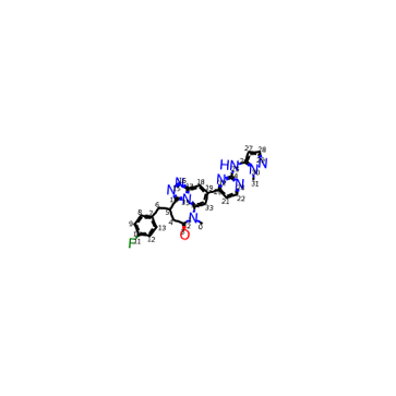 CN1C(=O)CC(Cc2ccc(F)cc2)c2nnc3cc(-c4ccnc(Nc5ccnn5C)n4)cc1n23